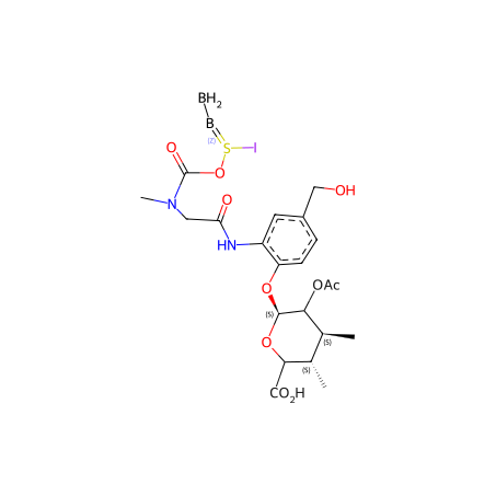 B/B=S(\I)OC(=O)N(C)CC(=O)Nc1cc(CO)ccc1O[C@@H]1OC(C(=O)O)[C@@H](C)[C@H](C)C1OC(C)=O